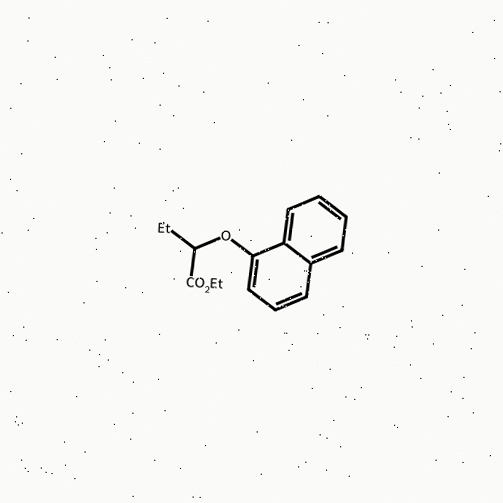 [CH2]CC(Oc1cccc2ccccc12)C(=O)OCC